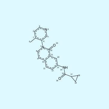 Cc1ccncc1-n1ccc2ccc(NC(=O)C3CC3)cc2c1=O